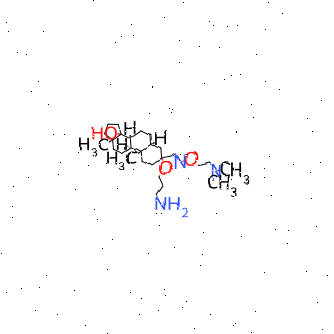 CN(C)CCO/N=C/[C@]1(OCCCN)CC[C@@]2(C)[C@H](CC[C@@H]3[C@@H]2CC[C@]2(C)CCC[C@]32O)C1